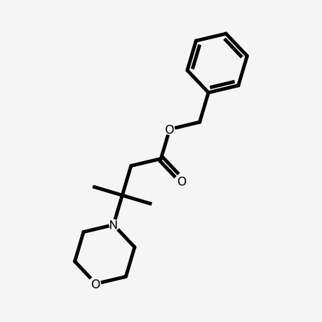 CC(C)(CC(=O)OCc1ccccc1)N1CCOCC1